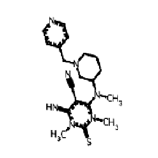 CN(c1c(C#N)c(=N)n(C)c(=S)n1C)C1CCCN(Cc2ccncc2)C1